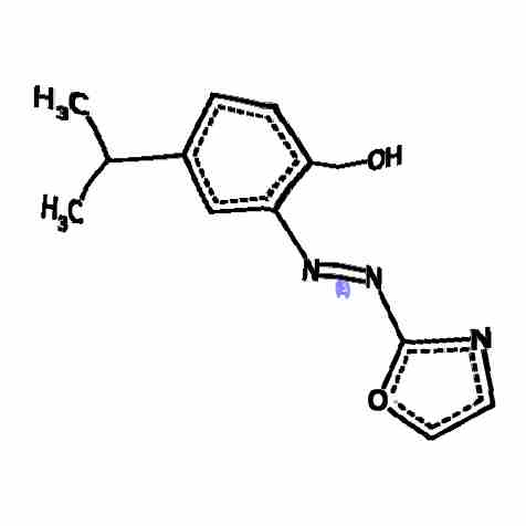 CC(C)c1ccc(O)c(/N=N/c2ncco2)c1